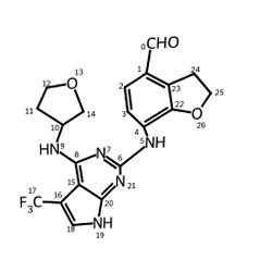 O=Cc1ccc(Nc2nc(NC3CCOC3)c3c(C(F)(F)F)c[nH]c3n2)c2c1CCO2